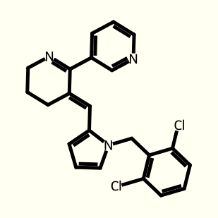 Clc1cccc(Cl)c1Cn1cccc1C=C1CCCN=C1c1cccnc1